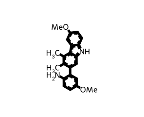 COc1ccc(N)c(-c2cc3[nH]c4ccc(OC)cc4c3c(C)c2C)c1